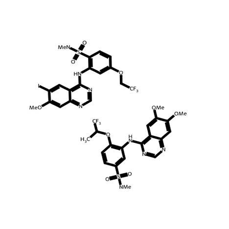 CNS(=O)(=O)c1ccc(OC(C)C(F)(F)F)c(Nc2ncnc3cc(OC)c(OC)cc23)c1.CNS(=O)(=O)c1ccc(OCC(F)(F)F)cc1Nc1ncnc2cc(OC)c(I)cc12